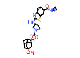 O=C(NC1CC1)c1ccc2nc(N[C@@H]3CCN(C(=O)O[C@H]4C5CC6CC4C[C@](O)(C6)C5)C3)sc2c1